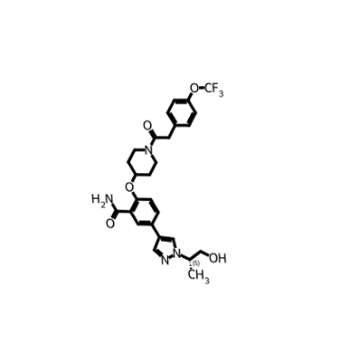 C[C@@H](CO)n1cc(-c2ccc(OC3CCN(C(=O)Cc4ccc(OC(F)(F)F)cc4)CC3)c(C(N)=O)c2)cn1